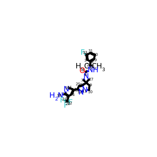 CC(C)(NC(=O)N1CC2(CCn3nc(-c4cnc(N)c(C(F)(F)F)c4)cc32)C1)c1cccc(F)c1